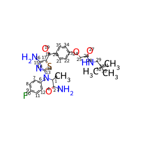 CC(C(N)=O)N(c1ccc(F)cc1)c1nc(N)c(C(=O)c2ccc(OCC(=O)NCC(C)(C)C)cc2)s1